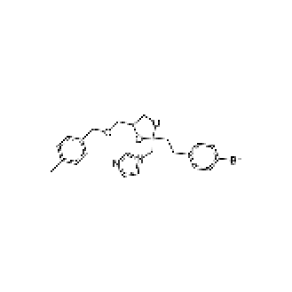 Cc1ccc(COCC2COC(CCc3ccc(Br)cc3)(Cn3ccnc3)O2)cc1